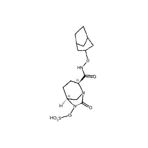 O=C(NOC1CC2CCC(C2)C1)[C@@H]1CC[C@H]2CN1C(=O)N2OS(=O)(=O)O